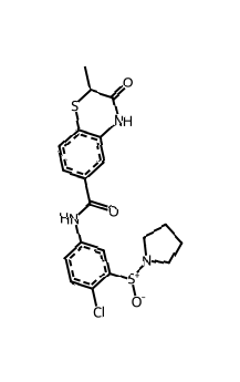 CC1Sc2ccc(C(=O)Nc3ccc(Cl)c([S+]([O-])N4CCCC4)c3)cc2NC1=O